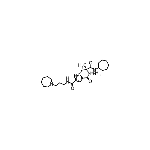 CN1C(=O)c2cc(C(=O)NCCCN3CCCCCC3)nn2CC1(C)C(=O)NC1CCCCCC1